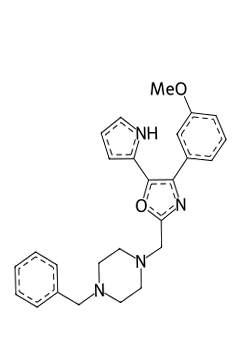 COc1cccc(-c2nc(CN3CCN(Cc4ccccc4)CC3)oc2-c2ccc[nH]2)c1